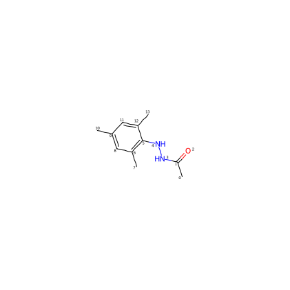 CC(=O)NNc1c(C)cc(C)cc1C